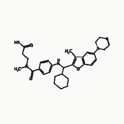 Cc1c(C(Nc2ccc(C(=O)N(C)CCC(=O)O)cc2)C2CCCCC2)oc2ccc(N3CCSCC3)cc12